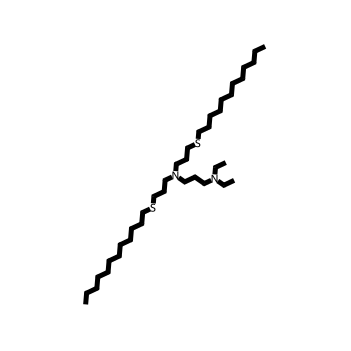 CCCCCCCCCCCCSCCCN(CCCSCCCCCCCCCCCC)CCCN(CC)CC